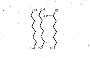 OCCCCCC(O)P.OCCCCCCO.OCCCCCCO